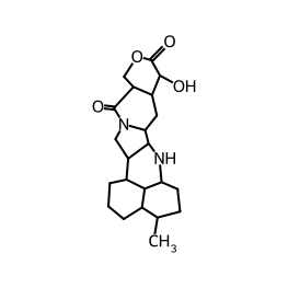 CC1CCC2NC3C(CN4C(=O)C5COC(=O)C(O)C5CC34)C3CCCC1C23